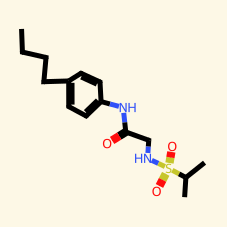 CCCCc1ccc(NC(=O)CNS(=O)(=O)C(C)C)cc1